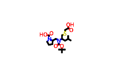 CC(C)CC(CSCC(=O)O)N(CC1CCCN1C(=O)O)C(=O)OC(C)(C)C